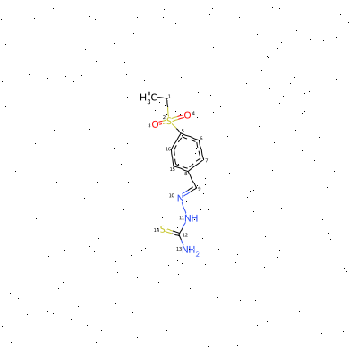 CCS(=O)(=O)c1ccc(/C=N/NC(N)=S)cc1